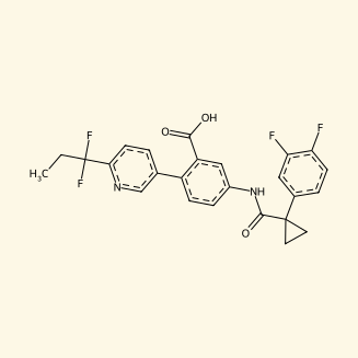 CCC(F)(F)c1ccc(-c2ccc(NC(=O)C3(c4ccc(F)c(F)c4)CC3)cc2C(=O)O)cn1